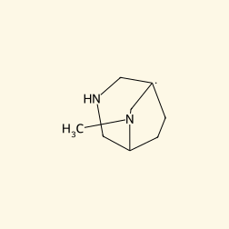 CN1C[C]2CCC1CNC2